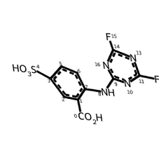 O=C(O)c1cc(S(=O)(=O)O)ccc1Nc1nc(F)nc(F)n1